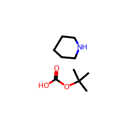 C1CCNCC1.CC(C)(C)OC(=O)O